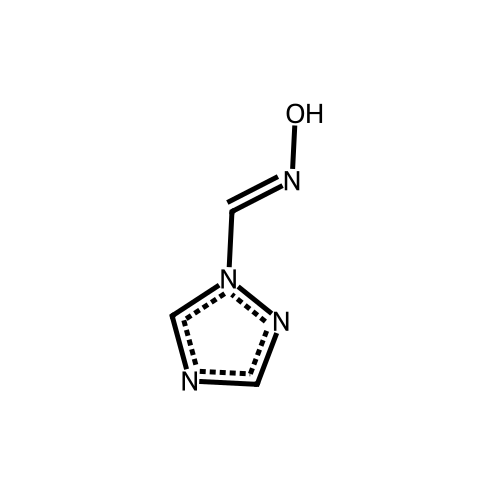 ON=Cn1cncn1